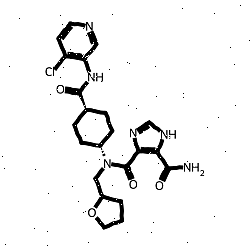 NC(=O)c1[nH]cnc1C(=O)N(CC1CCCO1)[C@H]1CC[C@H](C(=O)Nc2cnccc2Cl)CC1